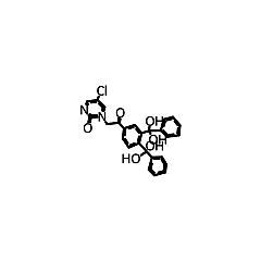 O=C(Cn1cc(Cl)cnc1=O)c1ccc(C(O)(O)c2ccccc2)c(C(O)(O)c2ccccc2)c1